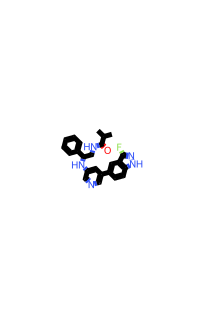 CC(C)C(=O)NCC(Nc1cncc(-c2ccc3[nH]nc(F)c3c2)c1)c1ccccc1